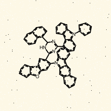 c1ccc(-n2c3ccccc3c3c(C4=NC(c5cccc6ccccc56)NC(c5cc6c(cc5-n5c7ccccc7c7cc8ccccc8cc75)oc5ccccc56)=N4)cccc32)cc1